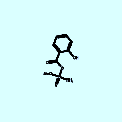 COP(N)(=S)OC(=O)c1ccccc1O